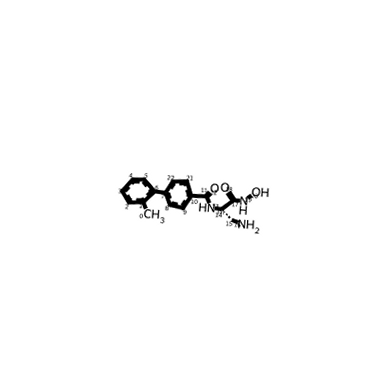 Cc1ccccc1-c1ccc(C(=O)N[C@@H](CN)C(=O)NO)cc1